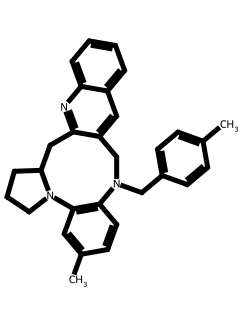 Cc1ccc(CN2Cc3cc4ccccc4nc3CC3CCCN3c3cc(C)ccc32)cc1